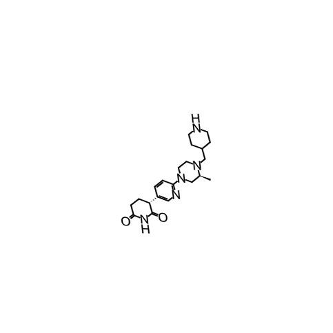 C[C@H]1CN(c2ccc([C@H]3CCC(=O)NC3=O)cn2)CCN1CC1CCNCC1